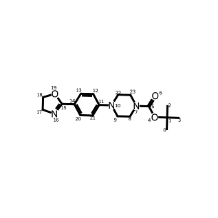 CC(C)(C)OC(=O)N1CCN(c2ccc(C3=NCCO3)cc2)CC1